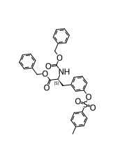 Cc1ccc(S(=O)(=O)Oc2cccc(C[C@H](NC(=O)OCc3ccccc3)C(=O)OCc3ccccc3)c2)cc1